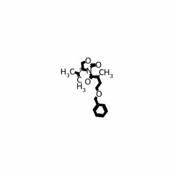 CC(C)[C@@H]1COC(=O)N1C(=O)[C@H](C)CCOCc1ccccc1